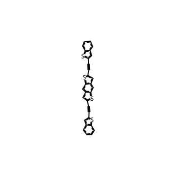 C(#Cc1cc2cc3sc(C#Cc4cc5ccccc5s4)cc3cc2s1)c1cc2ccccc2s1